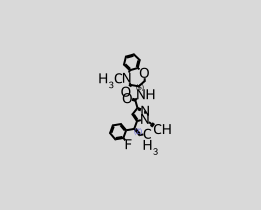 C#Cn1nc(C(=O)N[C@H]2COc3ccccc3N(C)C2=O)cc1/C(=C\C)c1ccccc1F